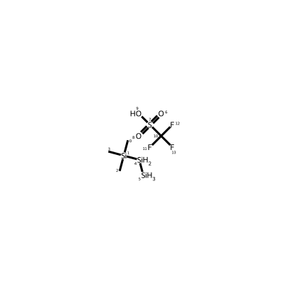 C[Si](C)(C)[SiH2][SiH3].O=S(=O)(O)C(F)(F)F